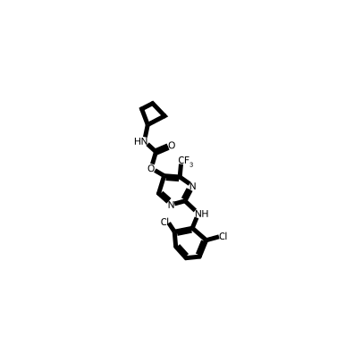 O=C(NC1CCC1)Oc1cnc(Nc2c(Cl)cccc2Cl)nc1C(F)(F)F